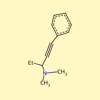 CCC(C#Cc1ccccc1)N(C)C